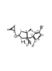 C[C@@H]1CC(OC2CC2)C[C@@]1(N)c1cc(Br)ccc1F